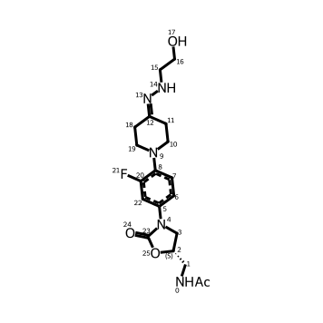 CC(=O)NC[C@H]1CN(c2ccc(N3CCC(=NNCCO)CC3)c(F)c2)C(=O)O1